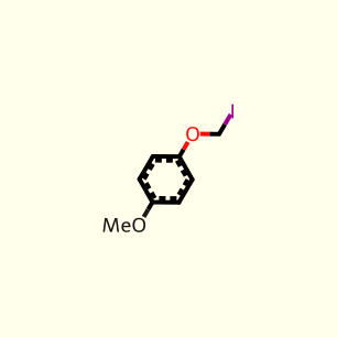 COc1ccc(OCI)cc1